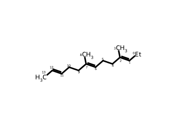 [CH2]C/C=C(\C)CC/C=C(\C)CC/C=C/C